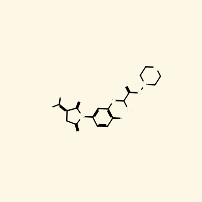 CCC(Nc1cc(N2C(=O)CC(=C(C)C)C2=O)ccc1Cl)C(=O)NN1CCOCC1